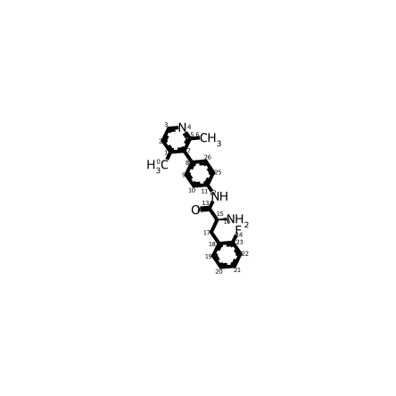 Cc1ccnc(C)c1-c1ccc(NC(=O)[C@@H](N)Cc2ccccc2F)cc1